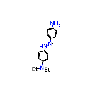 CCN(CC)c1ccc(N[N]c2ccc(N)cc2)cc1